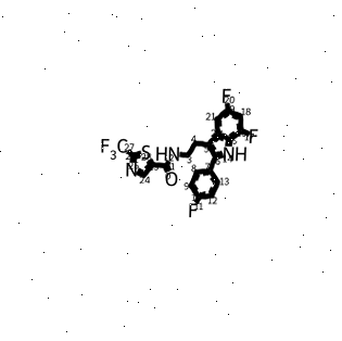 O=C(NCCc1c(-c2ccc(F)cc2)[nH]c2c(F)cc(F)cc12)c1cnc(C(F)(F)F)s1